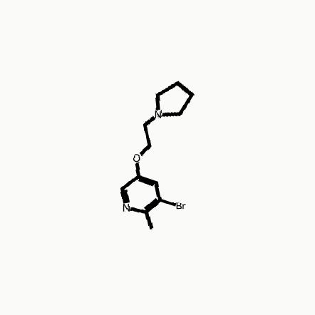 Cc1ncc(OCCN2CCCC2)cc1Br